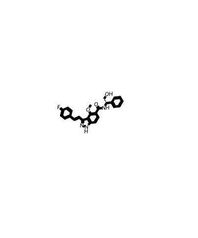 COc1c(C(=O)N[C@H](CO)c2ccccc2)ccc2[nH]nc(/C=C/c3ccc(F)cc3)c12